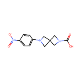 O=C(O)N1CC2(C1)CN(c1ccc([N+](=O)[O-])cc1)C2